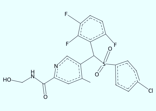 Cc1cc(C(=O)NCO)ncc1C(c1c(F)ccc(F)c1F)S(=O)(=O)c1ccc(Cl)cc1